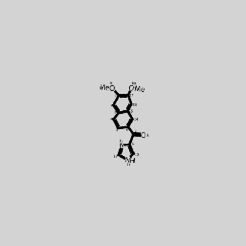 COc1cc2ccc(C(=O)c3c[nH]cn3)cc2cc1OC